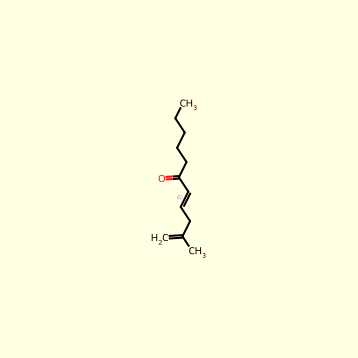 C=C(C)C/C=C/C(=O)CCCCC